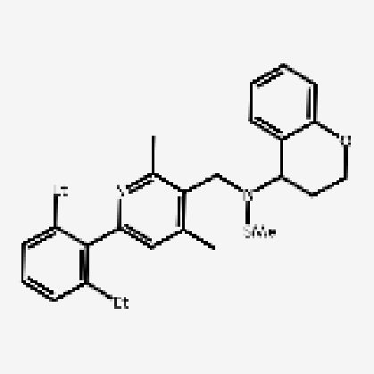 CCc1cccc(CC)c1-c1cc(C)c(CN(SC)C2CCOc3ccccc32)c(C)n1